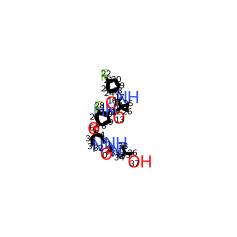 O=C(Nc1cc(Oc2ccc(NC(=O)C3(C(=O)Nc4ccc(F)cc4)CC3)c(F)c2)ccn1)N1CC(CO)C1